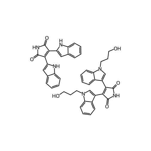 O=C1NC(=O)C(c2cc3ccccc3[nH]2)=C1c1cc2ccccc2[nH]1.O=C1NC(=O)C(c2cn(CCCO)c3ccccc23)=C1c1cn(CCCO)c2ccccc12